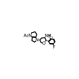 CC(=O)N1CCCC2=C1CCN2[C@H]1CO[C@H](c2cc(F)ccc2F)[C@@H](N)C1